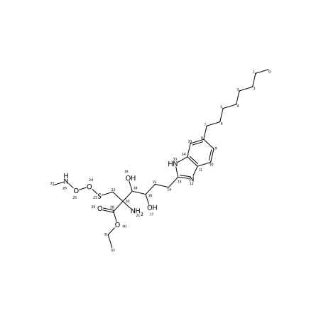 CCCCCCCCc1ccc2nc(CCC(O)C(O)C(N)(CSOONC)C(=O)OCC)[nH]c2c1